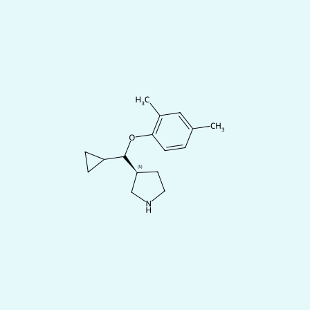 Cc1ccc(OC(C2CC2)[C@H]2CCNC2)c(C)c1